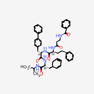 CC(NC(=O)[C@@H](CC1C=CC=CC1)NC(=O)[C@H](Cc1ccc(-c2ccccc2)cc1)NC(=O)[C@H](CCc1ccccc1)NC(=O)CCNC(=O)c1ccccc1)C(=O)O